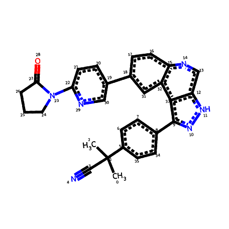 CC(C)(C#N)c1ccc(-c2n[nH]c3cnc4ccc(-c5ccc(N6CCCC6=O)nc5)cc4c23)cc1